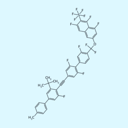 Cc1ccc(-c2cc(F)c(C#Cc3cc(F)c(-c4ccc(C(F)(F)Oc5cc(F)c6c(F)c(S(F)(F)(F)(F)F)c(F)cc6c5)c(F)c4)c(F)c3)c(C(C)(C)C)c2)cc1